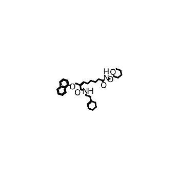 O=C(CCCCC=C(COc1cccc2ccccc12)C(=O)NCCC1=CCCCC1)NOC1CCCCO1